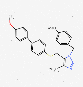 CCOC(=O)c1nnn(Cc2ccc(OC)cc2)c1CSc1ccc(-c2ccc(OC(F)(F)F)cc2)cc1